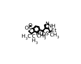 CCC(C)(c1[nH]ncc1C(=O)c1ccc2c(c1C)C(C)(C)CS2(=O)=O)S(=O)(=O)O